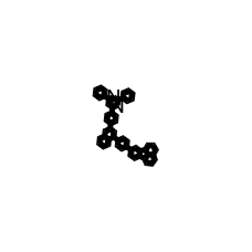 c1ccc(-c2cc(-c3ccc(-c4cc(-c5ccc(-c6ccc7c(c6)-c6cccc8cccc-7c68)cc5)c5ccccc5c4)cc3)nc(-c3ccccc3)n2)cc1